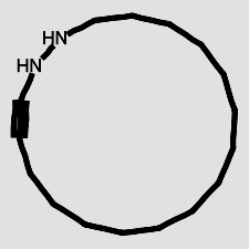 C1#CNNCCCCCCCCCCCCCC1